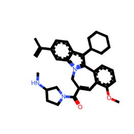 C=C(C)c1ccc2c(C3CCCCC3)c3n(c2c1)CC(C(=O)N1CCC(NC)C1)=Cc1c(OC)cccc1-3